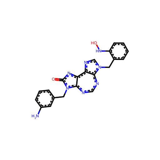 Nc1cccc(Cn2c3ncnc4c(ncn4Cc4ccccc4NO)c-3nc2=O)c1